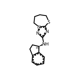 c1ccc2c(c1)CC[C@H]2Nc1nc2n(n1)CCCCS2